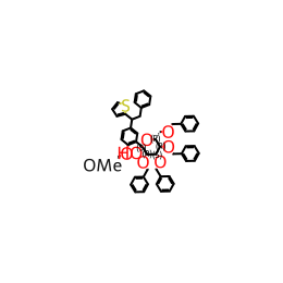 COCOc1ccc(C(Cc2ccccc2)c2cccs2)cc1[C@]1(O)O[C@H](COCc2ccccc2)[C@@H](OCc2ccccc2)[C@H](OCc2ccccc2)[C@H]1OCc1ccccc1